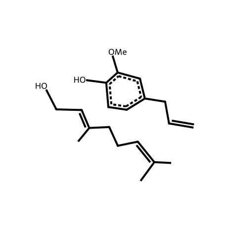 C=CCc1ccc(O)c(OC)c1.CC(C)=CCC/C(C)=C/CO